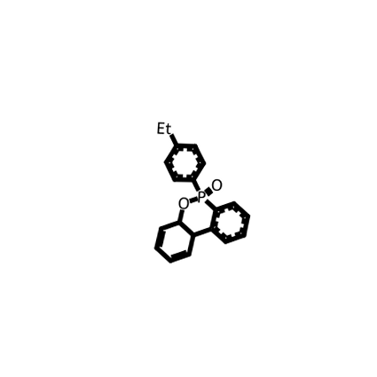 CCc1ccc(P2(=O)OC3C=CC=CC3c3ccccc32)cc1